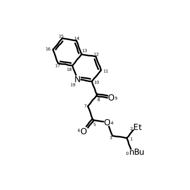 CCCCC(CC)COC(=O)CC(=O)c1ccc2ccccc2n1